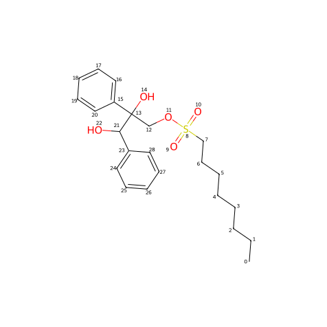 CCCCCCCCS(=O)(=O)OCC(O)(c1ccccc1)C(O)c1ccccc1